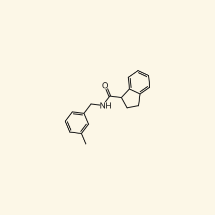 Cc1cccc(CNC(=O)C2CCc3ccccc32)c1